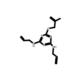 C=CCNc1nc(NCC=C)nc(OCC(=C)C)n1